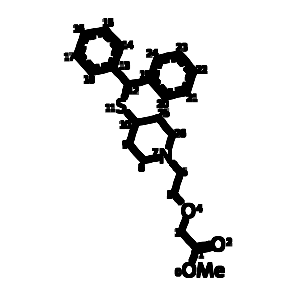 COC(=O)COCCN1CCC(SC(c2ccccc2)c2ccccc2)CC1